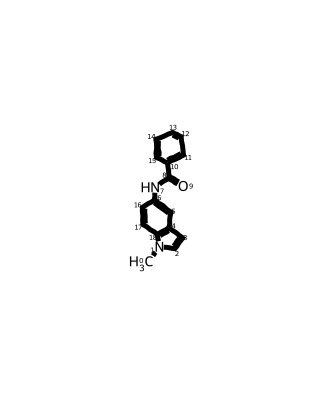 Cn1ccc2cc(NC(=O)c3ccccc3)ccc21